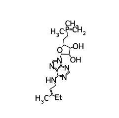 C=P(C)(C)CCC1OC(n2cnc3c(NC/C=C(/C)CC)ncnc32)[C@H](O)[C@@H]1O